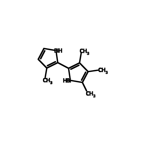 CC1=[C]([C]2=C(C)C(C)=[C](C)[BiH]2)[BiH][CH]=C1